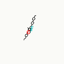 C=CC1CCC(C2CCC(CCc3c(C)cc(OCC4CCC(CCC)CC4)c(F)c3F)CC2)CC1